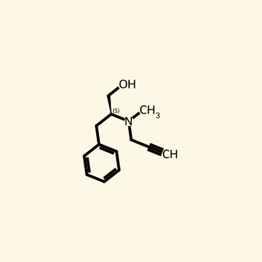 C#CCN(C)[C@H](CO)Cc1ccccc1